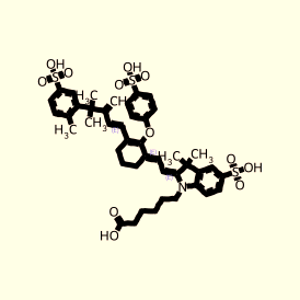 C=C(/C=C/C1=C(Oc2ccc(S(=O)(=O)O)cc2)C(=C/C=C2/N(CCCCCC(=O)O)c3ccc(S(=O)(=O)O)cc3C2(C)C)/CCC1)C(C)(C)c1cc(S(=O)(=O)O)ccc1C